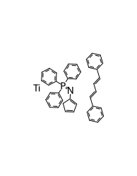 C(C=Cc1ccccc1)=Cc1ccccc1.C1=CCC(N=P(c2ccccc2)(c2ccccc2)c2ccccc2)=C1.[Ti]